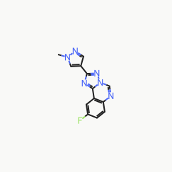 Cn1cc(-c2nc3c4cc(F)ccc4ncn3n2)cn1